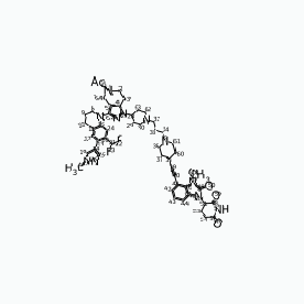 CC(=O)N1CCc2c(c(N3CCCc4cc(-c5cnn(C)c5)c(C(F)F)cc43)nn2C2CCN(CCCN3CCC(C#Cc4cccc5c4n(C)c(=O)n5C4CCC(=O)NC4=O)CC3)CC2)C1